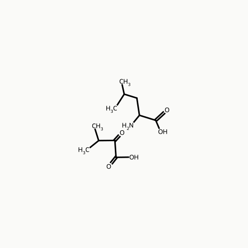 CC(C)C(=O)C(=O)O.CC(C)CC(N)C(=O)O